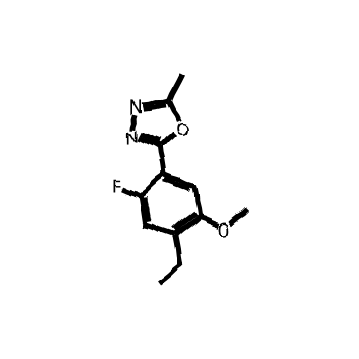 CCc1cc(F)c(-c2nnc(C)o2)cc1OC